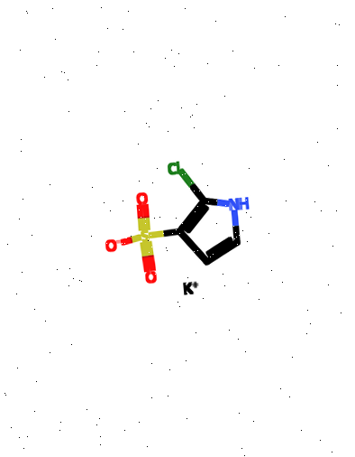 O=S(=O)([O-])c1cc[nH]c1Cl.[K+]